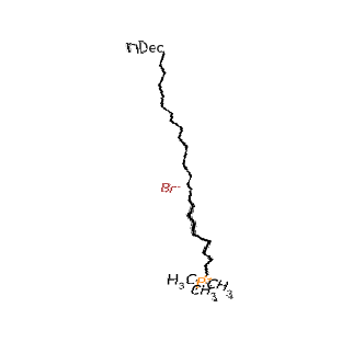 CCCCCCCCCCCCCCCCCCCCCCCCCCCCCCCCCCC[P+](C)(C)C.[Br-]